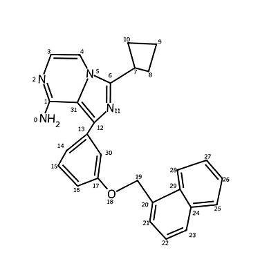 Nc1nccn2c(C3CCC3)nc(-c3cccc(OCc4cccc5ccccc45)c3)c12